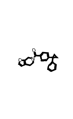 O=C(c1ccc(C2(c3ccccc3)CC2)cc1)N1CCc2ccoc2C1